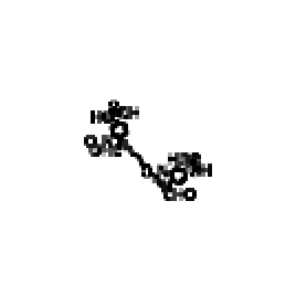 O=CN(CCCCCCCCN(C=O)c1ccc(P(=O)(O)O)cc1[N+](=O)[O-])c1ccc(P(=O)(O)O)cc1[N+](=O)[O-]